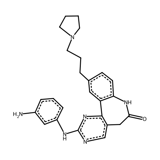 Nc1cccc(Nc2ncc3c(n2)-c2cc(CCCN4CCCC4)ccc2NC(=O)C3)c1